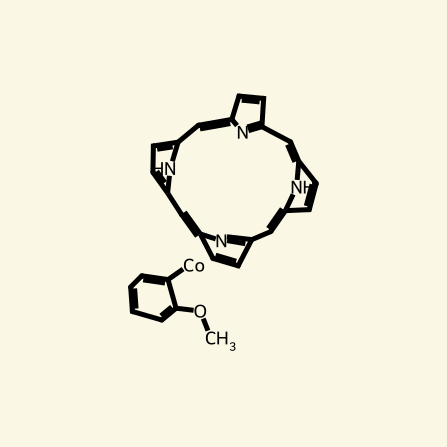 C1=Cc2cc3ccc(cc4nc(cc5ccc(cc1n2)[nH]5)C=C4)[nH]3.COc1cccc[c]1[Co]